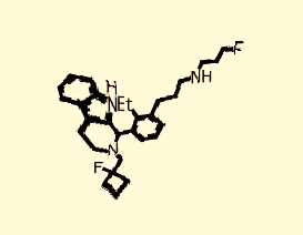 CCc1c(CCCNCCCF)cccc1C1c2[nH]c3ccccc3c2CCN1CC1(F)CCC1